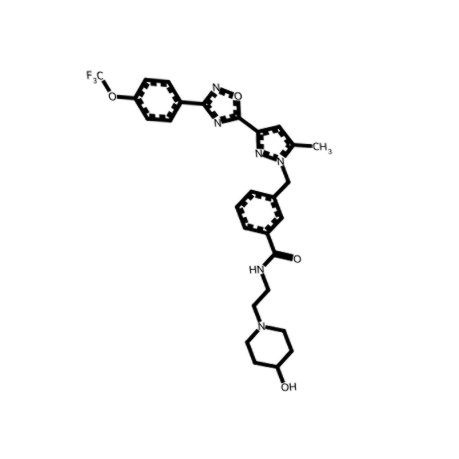 Cc1cc(-c2nc(-c3ccc(OC(F)(F)F)cc3)no2)nn1Cc1cccc(C(=O)NCCN2CCC(O)CC2)c1